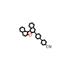 N#Cc1ccc(-c2ccc(-c3cc4ccccc4c4c3oc3ccc5ccccc5c34)cc2)cc1